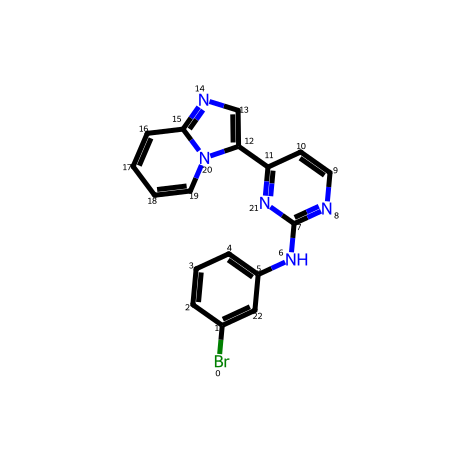 Brc1cccc(Nc2nccc(-c3cnc4ccccn34)n2)c1